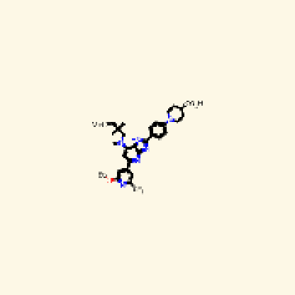 CCOc1cc(-c2cc(N(C)CC(C)(C)COC)c3[nH]c(-c4ccc(N5CCC(C(=O)O)CC5)cc4)nc3n2)cc(C(F)(F)F)n1